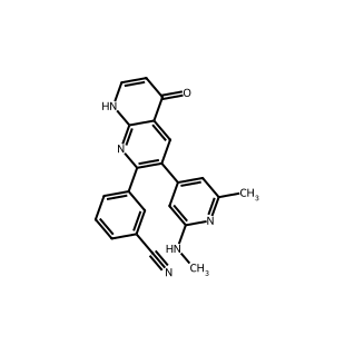 CNc1cc(-c2cc3c(=O)cc[nH]c3nc2-c2cccc(C#N)c2)cc(C)n1